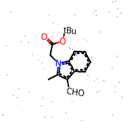 Cc1c(C=O)c2ccccc2n1CC(=O)OC(C)(C)C